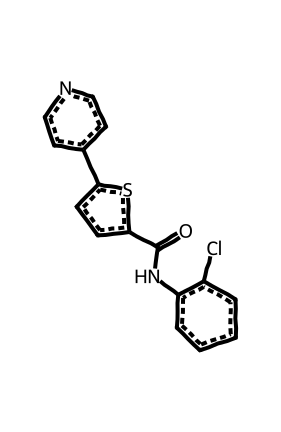 O=C(Nc1ccccc1Cl)c1ccc(-c2ccncc2)s1